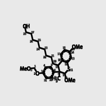 COCOc1ccc(C2(C)C(OC)Sc3cc(OC)ccc3C2CCCCCCCCCO)cc1